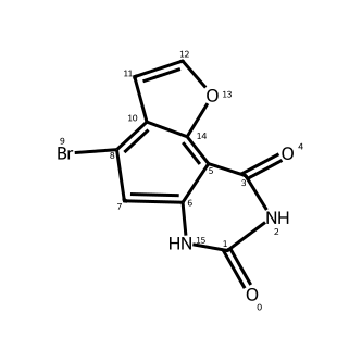 O=c1[nH]c(=O)c2c(cc(Br)c3ccoc32)[nH]1